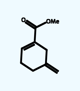 C=C1CCC=C(C(=O)OC)C1